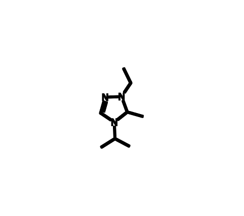 CCN1N=CN(C(C)C)C1C